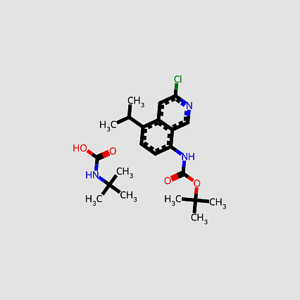 CC(C)(C)NC(=O)O.CC(C)c1ccc(NC(=O)OC(C)(C)C)c2cnc(Cl)cc12